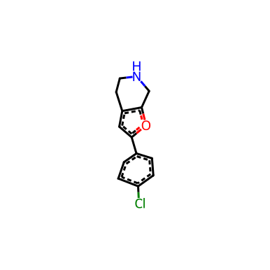 Clc1ccc(-c2cc3c(o2)CNCC3)cc1